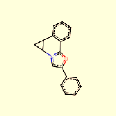 c1ccc(-c2c[n+]3c(o2)-c2ccccc2C2CC23)cc1